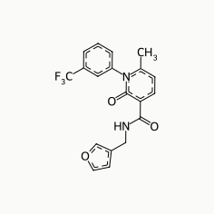 Cc1ccc(C(=O)NCc2ccoc2)c(=O)n1-c1cccc(C(F)(F)F)c1